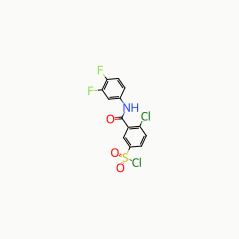 O=C(Nc1ccc(F)c(F)c1)c1cc(S(=O)(=O)Cl)ccc1Cl